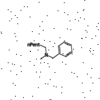 CCCCCCN(C)Cc1c[c]ccc1